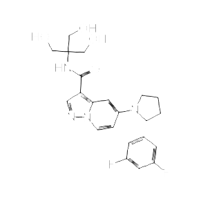 O=C(NC(CO)(CO)CO)c1cnn2ccc(N3CCC[C@@H]3c3cc(F)cc(F)c3)cc12